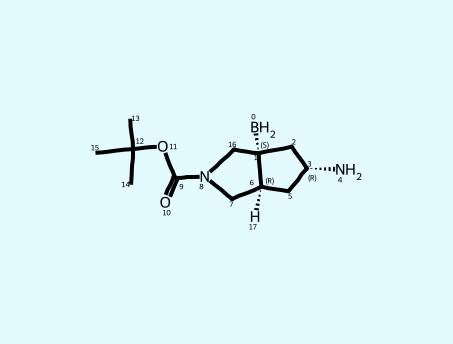 B[C@]12C[C@H](N)C[C@H]1CN(C(=O)OC(C)(C)C)C2